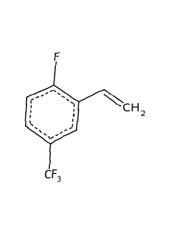 C=Cc1cc(C(F)(F)F)ccc1F